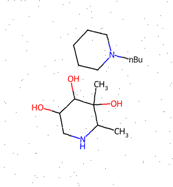 CC1NCC(O)C(O)C1(C)O.CCCCN1CCCCC1